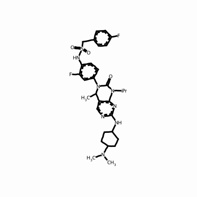 CC(C)N1C(=O)N(c2ccc(NS(=O)(=O)Cc3ccc(F)cc3)c(F)c2)C(C)c2cnc(NC3CCC(N(C)C)CC3)nc21